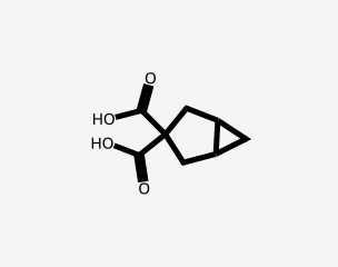 O=C(O)C1(C(=O)O)CC2CC2C1